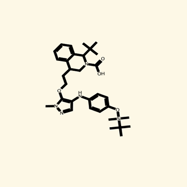 Cn1ncc(Nc2ccc(O[Si](C)(C)C(C)(C)C)cc2)c1OCCC1CN(C(=O)O)C(C(C)(C)C)c2ccccc21